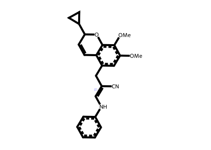 COc1cc(C/C(C#N)=C/Nc2ccccc2)c2c(c1OC)OC(C1CC1)C=C2